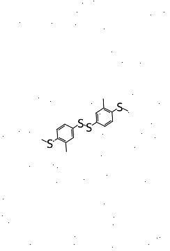 CSc1ccc(SSc2ccc(SC)c(C)c2)cc1C